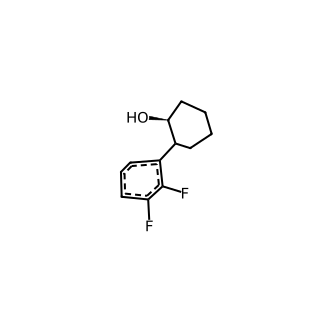 O[C@H]1CCCCC1c1cccc(F)c1F